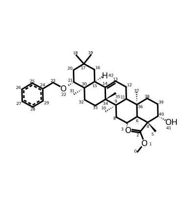 COC(=O)[C@]1(C)C2CC[C@]3(C)C(CC=C4[C@@H]5CC(C)(C)C[C@@H](OCc6ccccc6)[C@]5(C)CC[C@]43C)[C@@]2(C)CC[C@@H]1O